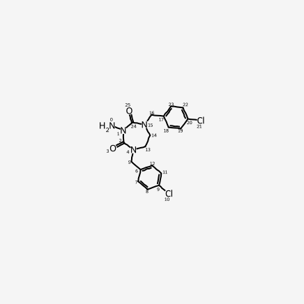 NN1C(=O)N(Cc2ccc(Cl)cc2)CCN(Cc2ccc(Cl)cc2)C1=O